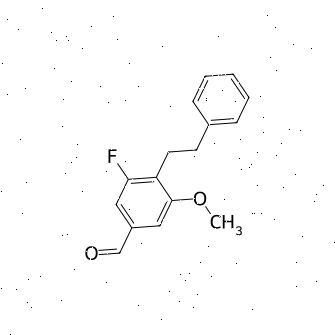 COc1cc(C=O)cc(F)c1CCc1ccccc1